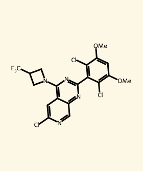 COc1cc(OC)c(Cl)c(-c2nc(N3CC(C(F)(F)F)C3)c3cc(Cl)ncc3n2)c1Cl